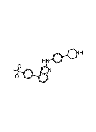 CS(=O)(=O)c1ccc(-c2cccc3nc(Nc4ccc(C5CCNCC5)cc4)cn23)cc1